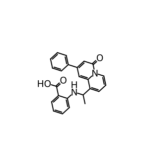 CC(Nc1ccccc1C(=O)O)c1cccn2c(=O)cc(-c3ccccc3)cc12